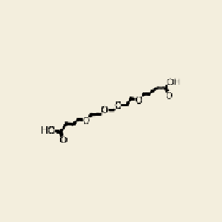 O=C(O)CCCOCCOCOCCOCCCC(=O)O